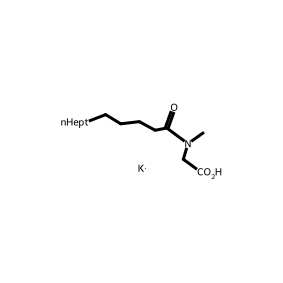 CCCCCCCCCCCC(=O)N(C)CC(=O)O.[K]